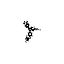 CNc1cc2c(cn1)c(-c1ccc(S(C)(=O)=O)cc1)nn2C1CCC(Oc2cn(C)nc2C(F)(F)F)CC1